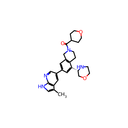 Cc1c[nH]c2ncc(-c3cc4c(c([C@H]5COCCN5)c3)CCN(C(=O)C3CCOCC3)C4)cc12